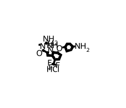 CN(C(=N)N)C(=O)c1cc2c(C(F)(F)F)ccc(Oc3ccc(N)cc3)c2[nH]1.Cl